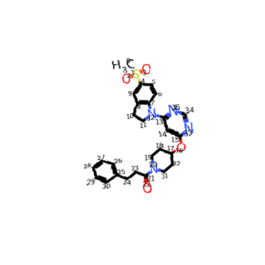 CS(=O)(=O)c1ccc2c(c1)CCN2c1cc(OC2CCN(C(=O)CCc3ccccc3)CC2)ncn1